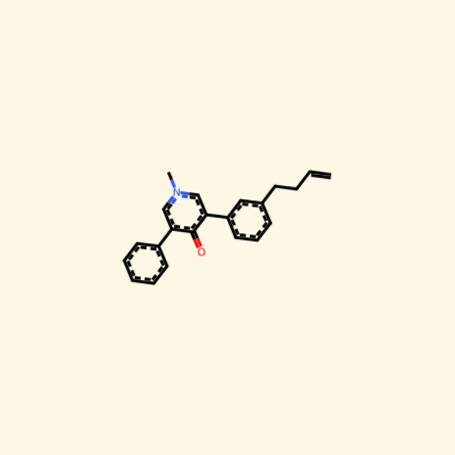 C=CCCc1cccc(-c2cn(C)cc(-c3ccccc3)c2=O)c1